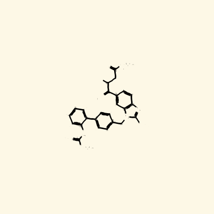 CCCCc1nc2ccc(C(=O)C(C)CC(=O)OC)cc2n1Cc1ccc(-c2ccccc2OC(=O)OC)cc1